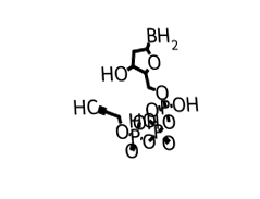 BC1CC(O)C(COP(=O)(O)OP(=O)(O)OP(=O)(O)OCC#C)O1